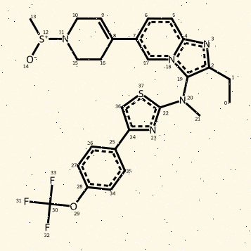 CCc1nc2ccc(C3=CCN([S+](C)[O-])CC3)cn2c1N(C)c1nc(-c2ccc(OC(F)(F)F)cc2)cs1